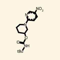 CC(C)(C)NC(=O)OC1CCCN(c2ccc([N+](=O)[O-])cn2)C1